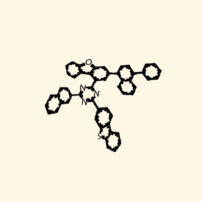 c1ccc(-c2ccc(-c3cc(-c4nc(-c5ccc6ccccc6c5)nc(-c5ccc6c(c5)sc5ccccc56)n4)c4c(c3)oc3ccccc34)c3ccccc23)cc1